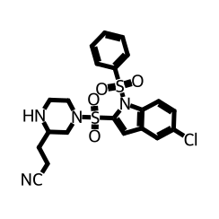 N#CCCC1CN(S(=O)(=O)c2cc3cc(Cl)ccc3n2S(=O)(=O)c2ccccc2)CCN1